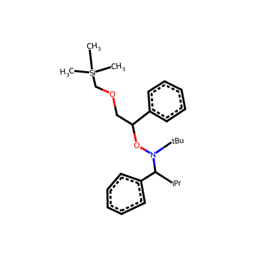 CC(C)C(c1ccccc1)N(OC(COC[Si](C)(C)C)c1ccccc1)C(C)(C)C